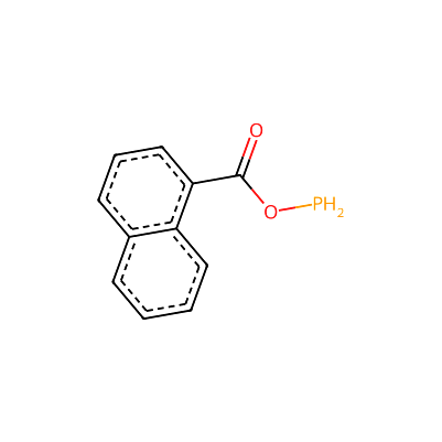 O=C(OP)c1cccc2ccccc12